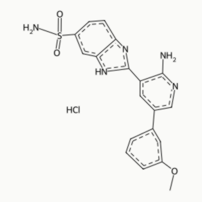 COc1cccc(-c2cnc(N)c(-c3nc4ccc(S(N)(=O)=O)cc4[nH]3)c2)c1.Cl